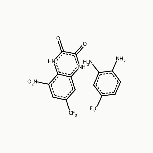 Nc1ccc(C(F)(F)F)cc1N.O=c1[nH]c2cc(C(F)(F)F)cc([N+](=O)[O-])c2[nH]c1=O